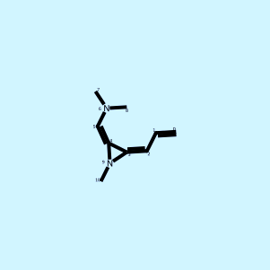 C=C/C=C1\C(=C/N(C)C)N1C